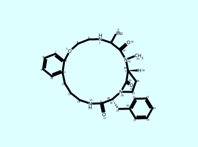 CCC(C)C1NCCOc2ccccc2CCCNC(=O)[C@@H](Cc2ccccc2)N2CC[C@H](C2=O)N(C)C1=O